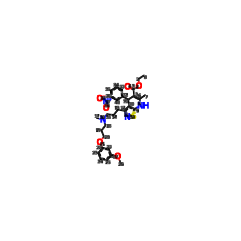 CCOC(=O)C1=C(C)Nc2snc(CCCN(C)CCCOc3cccc(OC)c3)c2C1c1cccc([N+](=O)[O-])c1